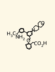 C[C@@H](N)c1cccc(-c2cc(COc3ccccc3CC(=O)O)cc(N3CCC4(CCOCC4)CC3)c2)c1